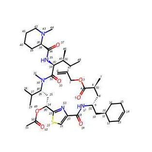 C=CCOC(=O)[C@@H](C)C[C@H](C[C@@H]1CC=CCC1)NC(=O)c1csc([C@@H](C[C@H](C(C)C)N(C)C(=O)[C@@H](NC(=O)[C@H]2CCCCN2C)[C@@H](C)CC)OC(C)=O)n1